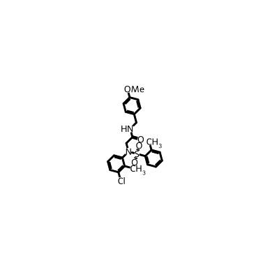 COc1ccc(CNC(=O)CN(c2cccc(Cl)c2C)S(=O)(=O)c2ccccc2C)cc1